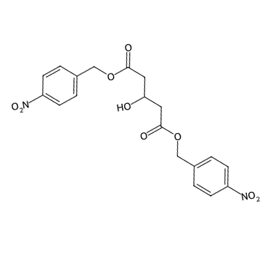 O=C(CC(O)CC(=O)OCc1ccc([N+](=O)[O-])cc1)OCc1ccc([N+](=O)[O-])cc1